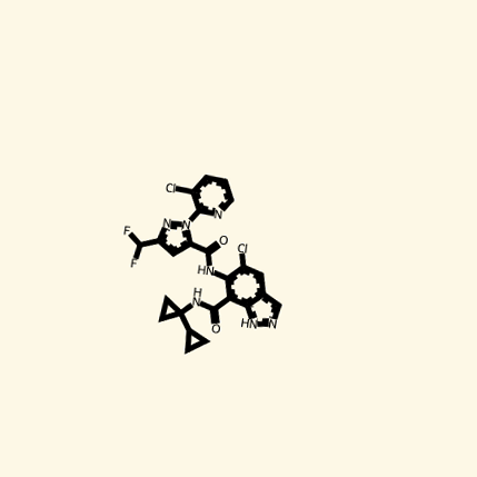 O=C(NC1(C2CC2)CC1)c1c(NC(=O)c2cc(C(F)F)nn2-c2ncccc2Cl)c(Cl)cc2cn[nH]c12